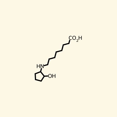 O=C(O)CCCCCCCNC1CCCC1O